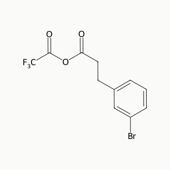 O=C(CCc1cccc(Br)c1)OC(=O)C(F)(F)F